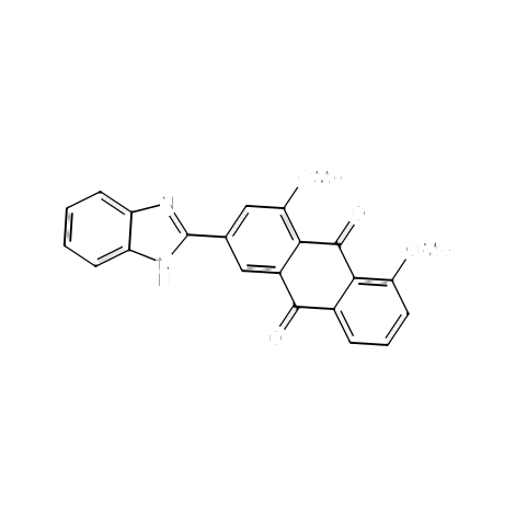 COc1cccc2c1C(=O)c1c(OC)cc(-c3nc4ccccc4[nH]3)cc1C2=O